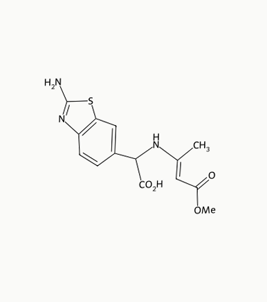 COC(=O)C=C(C)NC(C(=O)O)c1ccc2nc(N)sc2c1